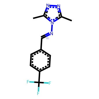 Cc1nnc(C)n1/N=C/c1ccc(C(F)(F)F)cc1